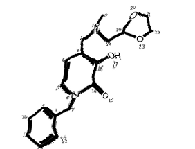 CN(Cc1ccn(Cc2ccccc2)c(=O)c1O)CC1OCCO1